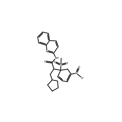 CS(=O)(=O)C1(C(CC2CCCC2)C(=O)Nc2ccc3ccccc3n2)C=CC=C([N+](=O)[O-])C1